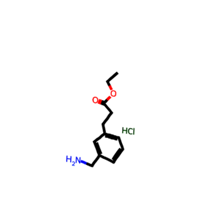 CCOC(=O)CCc1cccc(CN)c1.Cl